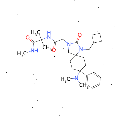 CNC(=O)C(C)(C)NC(=O)CN1CC2(CCC(c3ccccc3)(N(C)C)CC2)N(CC2CCC2)C1=O